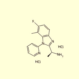 Cc1c(F)ccc2nc([C@H](C)N)n(-c3ccccn3)c12.Cl.Cl